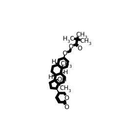 CC(C)(C)C(=O)OCO[C@H]1CC[C@@]2(C)[C@H](CC[C@@H]3[C@@H]2CC[C@]2(C)[C@@H](C4C=CC(=O)OC4)CC[C@]32O)C1